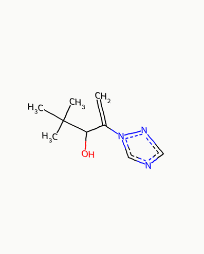 C=C(C(O)C(C)(C)C)n1cncn1